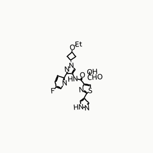 CCO[C@H]1C[C@H](n2cc(NC(=O)c3csc(-c4cn[nH]c4)n3)c(-c3ccc(F)cn3)n2)C1.O=CO